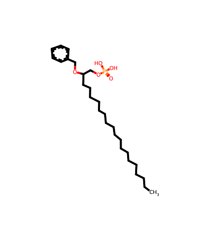 CCCCCCCCCCCCCCCCCCC(COP(=O)(O)O)OCc1ccccc1